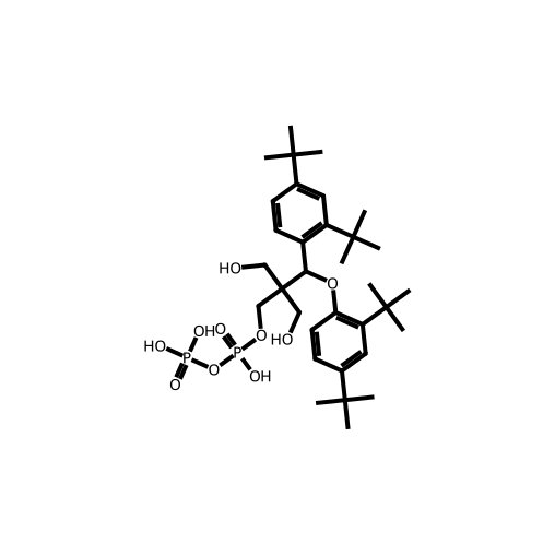 CC(C)(C)c1ccc(OC(c2ccc(C(C)(C)C)cc2C(C)(C)C)C(CO)(CO)COP(=O)(O)OP(=O)(O)O)c(C(C)(C)C)c1